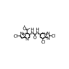 CO[C@@H](C)c1c(NC(=O)Nc2cc(Cl)c3nc(Cl)nn3c2)cnc2cc(Cl)nn12